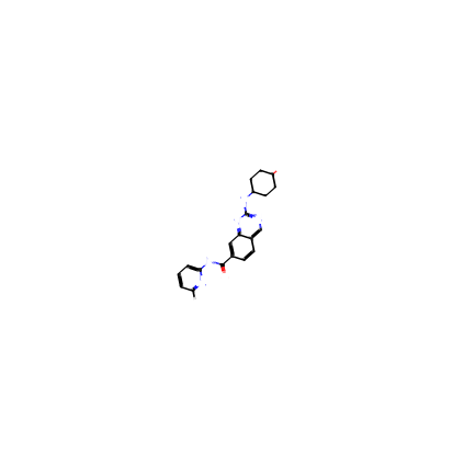 Cc1cccc(NC(=O)c2ccc3cnc(NC4CCC(O)CC4)nc3c2)n1